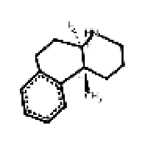 C[C@]12CCCN[C@@H]1CCc1ccccc12